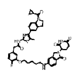 Cc1sc(NC(=O)Cc2ccc(F)c(OCCCCCNc3ccc4c(c3)CN(C3CCC(=O)NC3=O)C4=O)c2)nc1-c1ccc2c(c1)CCN2C(=O)C1CC1